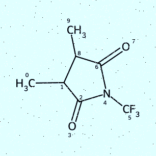 CC1C(=O)N(C(F)(F)F)C(=O)C1C